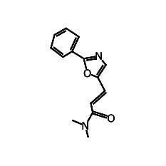 CN(C)C(=O)C=Cc1cnc(-c2ccccc2)o1